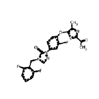 CC(=O)c1nc(C)c(Oc2ccc(-n3ncn(Cc4c(F)cccc4F)c3=O)cc2F)s1